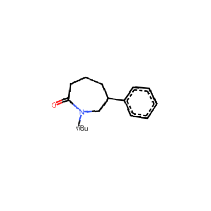 CCCCN1CC(c2ccccc2)CCCC1=O